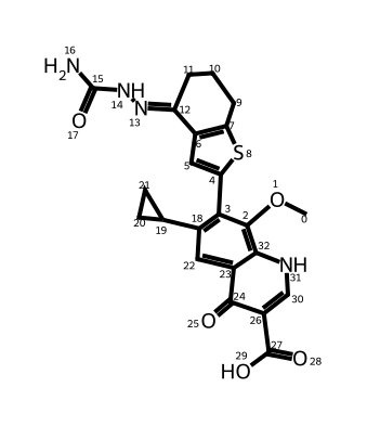 COc1c(-c2cc3c(s2)CCC/C3=N\NC(N)=O)c(C2CC2)cc2c(=O)c(C(=O)O)c[nH]c12